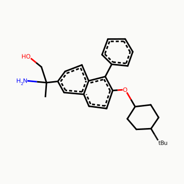 CC(N)(CO)c1ccc2c(-c3ccccc3)c(OC3CCC(C(C)(C)C)CC3)ccc2c1